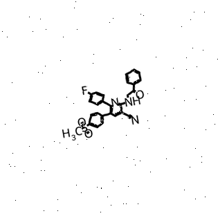 CS(=O)(=O)c1ccc(-c2cc(C#N)c(NCC(=O)c3ccccc3)nc2-c2ccc(F)cc2)cc1